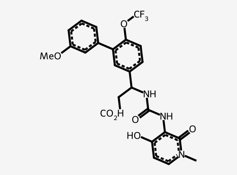 COc1cccc(-c2cc(C(CC(=O)O)NC(=O)Nc3c(O)ccn(C)c3=O)ccc2OC(F)(F)F)c1